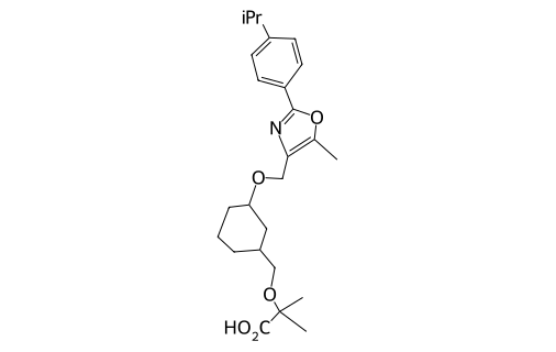 Cc1oc(-c2ccc(C(C)C)cc2)nc1COC1CCCC(COC(C)(C)C(=O)O)C1